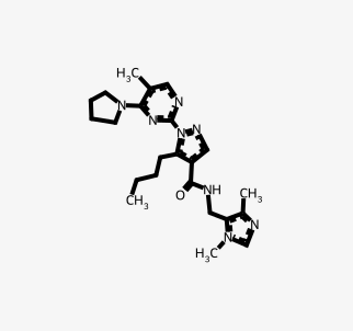 CCCCc1c(C(=O)NCc2c(C)ncn2C)cnn1-c1ncc(C)c(N2CCCC2)n1